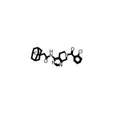 O=C(CC12CC3CC(CC(C3)C1)C2)Nc1ncnc2c1CCN(C(=O)c1ccccc1Cl)C2